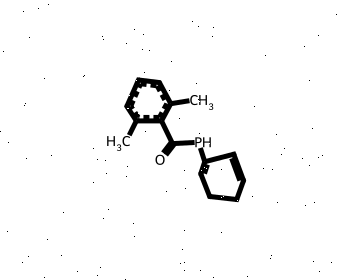 Cc1cccc(C)c1C(=O)PC1=CCCC=C1